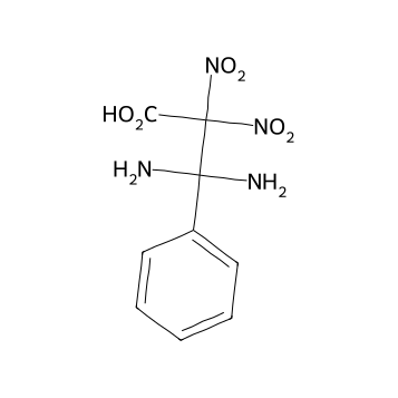 NC(N)(c1ccccc1)C(C(=O)O)([N+](=O)[O-])[N+](=O)[O-]